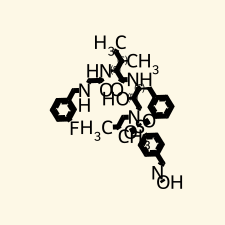 CC[C@H](C)[C@H](NC(=O)CNCc1cccc(F)c1)C(=O)N[C@@H](Cc1ccccc1)[C@H](O)CN(CC(C)C)S(=O)(=O)c1ccc(C=NO)cc1